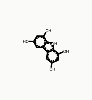 Oc1cc(O)c2[nH]c3c(O)cc(O)cc3c2c1